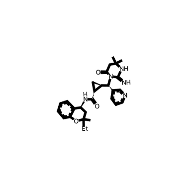 CCC1(C)C[C@H](NC(=O)[C@@H]2C[C@H]2[C@@H](c2cccnc2)N2C(=N)NC(C)(C)CC2=O)c2ccccc2O1